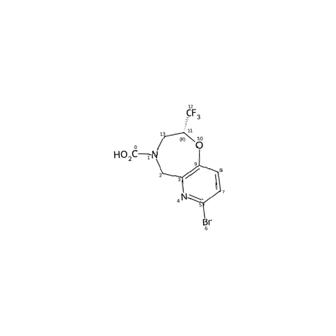 O=C(O)N1Cc2nc(Br)ccc2O[C@@H](C(F)(F)F)C1